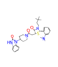 CN(C)c1ccccc1C1SC(CC(=O)N2CCC(n3c(=O)[nH]c4ccccc43)CC2)C(=O)N1CCC(C)(C)C